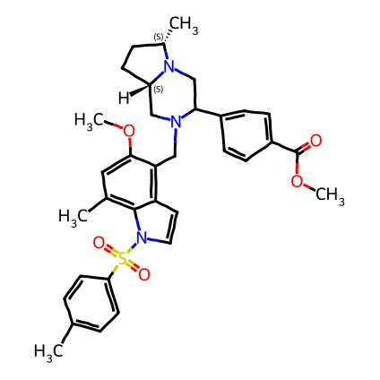 COC(=O)c1ccc(C2CN3[C@@H](CC[C@@H]3C)CN2Cc2c(OC)cc(C)c3c2ccn3S(=O)(=O)c2ccc(C)cc2)cc1